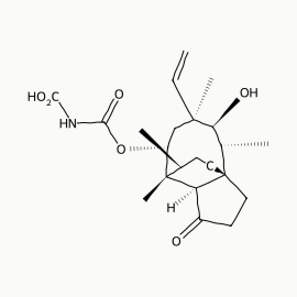 C=C[C@]1(C)C[C@@H](OC(=O)NC(=O)O)[C@]2(C)[C@H](C)CC[C@]3(CCC(=O)[C@H]32)[C@@H](C)[C@@H]1O